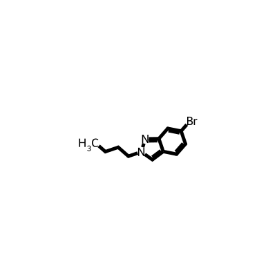 CCCCn1cc2ccc(Br)cc2n1